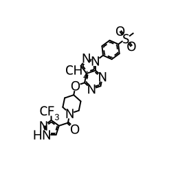 C.CS(=O)(=O)c1ccc(-n2ncc3c(OC4CCN(C(=O)c5c[nH]nc5C(F)(F)F)CC4)ncnc32)cc1